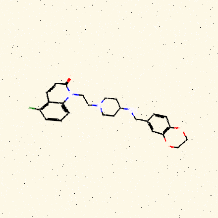 O=c1ccc2c(Cl)cccc2n1CCN1CCC(NCc2ccc3c(c2)OCCO3)CC1